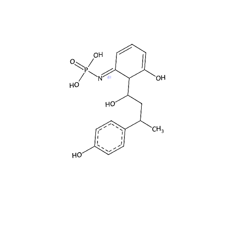 CC(CC(O)C1C(O)=CC=C/C1=N\P(=O)(O)O)c1ccc(O)cc1